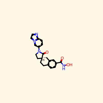 O=C(NO)c1ccc2c(c1)C[C@]1(CC2)CCN(c2ccc3nccn3c2)C1=O